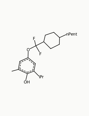 CCCCCC1CCC(C(F)(F)Oc2cc(C)c(O)c(C(C)C)c2)CC1